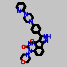 NC(=O)N(c1cccc2c1C(=O)c1c-2n[nH]c1-c1ccc(N2CCN(c3ccccn3)CC2)cc1)N1CCOCC1